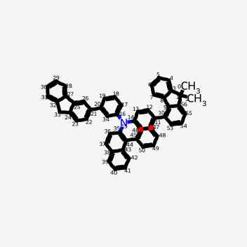 CC1(C)c2ccccc2-c2c(-c3ccc(N(c4cccc(-c5ccc6c(c5)-c5ccccc5C6)c4)c4ccc5ccccc5c4-c4ccccc4)cc3)cccc21